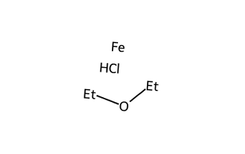 CCOCC.Cl.[Fe]